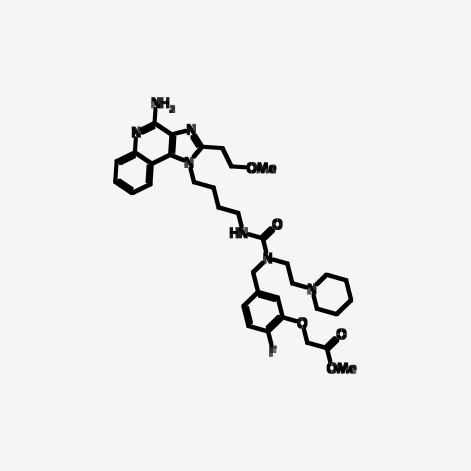 COCCc1nc2c(N)nc3ccccc3c2n1CCCCNC(=O)N(CCN1CCCCC1)Cc1ccc(F)c(OCC(=O)OC)c1